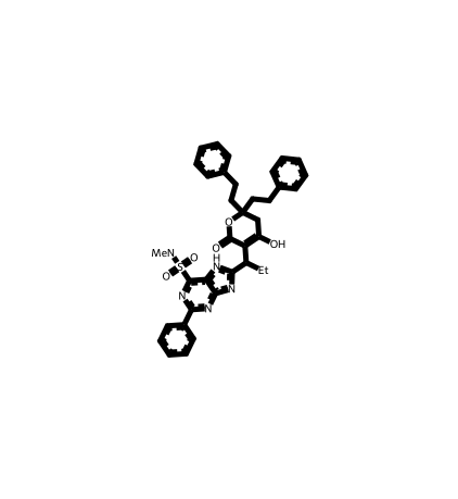 CCC(C1=C(O)CC(CCc2ccccc2)(CCc2ccccc2)OC1=O)c1nc2nc(-c3ccccc3)nc(S(=O)(=O)NC)c2[nH]1